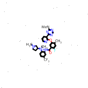 CNc1ncnc(-c2cccnc2Oc2cc(C(=O)Nc3cc(C(F)(F)F)ccc3N(C)C3CCN(C)C3)c(F)cc2C)n1